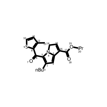 CCCCc1cc2n(c1C(=O)c1sccc1C)CC=C2C(=O)OC(C)C